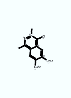 COc1cc2c(C)n[n+](C)c(Cl)c2cc1OC